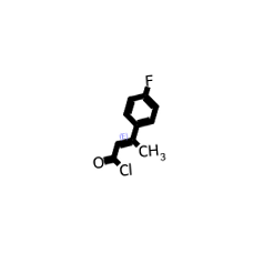 C/C(=C\C(=O)Cl)c1ccc(F)cc1